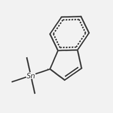 [CH3][Sn]([CH3])([CH3])[C]1C=Cc2ccccc21